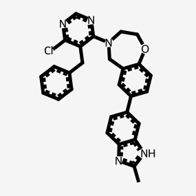 Cc1nc2ccc(-c3ccc4c(c3)CN(c3ncnc(Cl)c3Cc3ccccc3)CCO4)cc2[nH]1